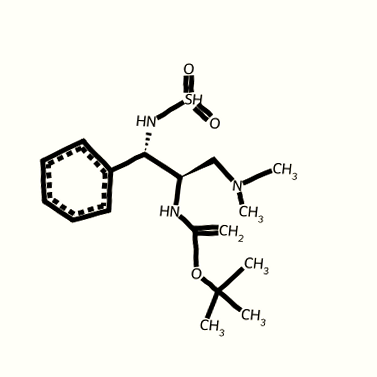 C=C(N[C@H](CN(C)C)[C@@H](N[SH](=O)=O)c1ccccc1)OC(C)(C)C